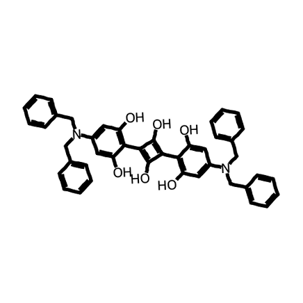 OC1=C(c2c(O)cc(N(Cc3ccccc3)Cc3ccccc3)cc2O)C(O)=C1c1c(O)cc(N(Cc2ccccc2)Cc2ccccc2)cc1O